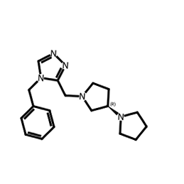 c1ccc(Cn2cnnc2CN2CC[C@@H](N3CCCC3)C2)cc1